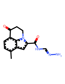 Cc1ccc2c3c1cc(C(=O)NC=NN)n3CCC2=O